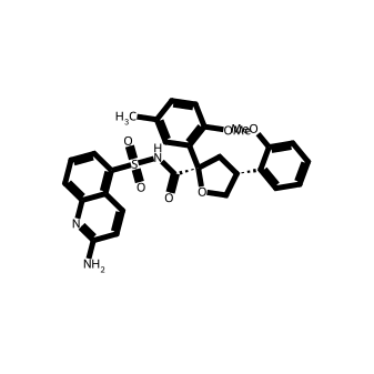 COc1ccccc1[C@@H]1CO[C@@](C(=O)NS(=O)(=O)c2cccc3nc(N)ccc23)(c2cc(C)ccc2OC)C1